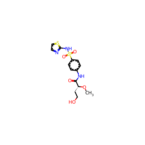 CO[C@H](CCO)C(=O)Nc1ccc(S(=O)(=O)Nc2nccs2)cc1